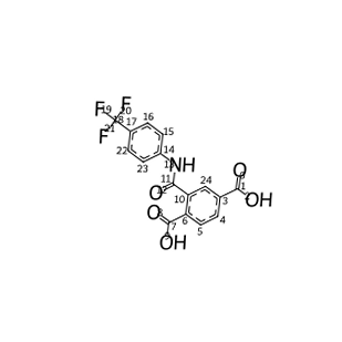 O=C(O)c1ccc(C(=O)O)c(C(=O)Nc2ccc(C(F)(F)F)cc2)c1